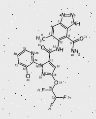 Cc1cc2nn[nH]c2c(C(N)=O)c1NC(=O)c1cc(OC(F)C(F)F)nn1-c1ncccc1Cl